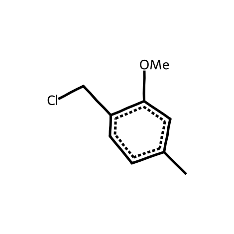 COc1cc(C)ccc1CCl